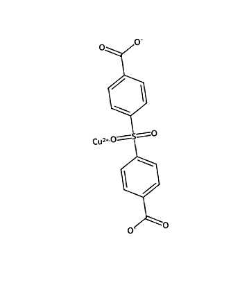 O=C([O-])c1ccc(S(=O)(=O)c2ccc(C(=O)[O-])cc2)cc1.[Cu+2]